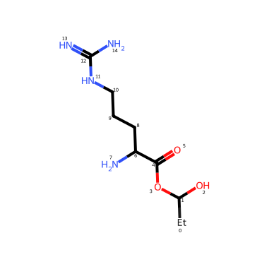 CCC(O)OC(=O)C(N)CCCNC(=N)N